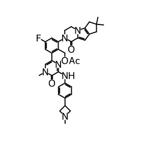 CC(=O)OCc1c(-c2cn(C)c(=O)c(Nc3ccc(C4CN(C)C4)cc3)n2)cc(F)cc1N1CCn2c(cc3c2CC(C)(C)C3)C1=O